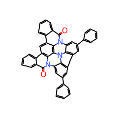 O=c1c2ccccc2c2cc3c4ccccc4c(=O)n4c5cc(-c6ccccc6)cc6c7cc(-c8ccccc8)cc8c7n(c65)c(c2n18)c34